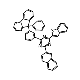 c1ccc(C2(c3cccc(-c4nc(-c5ccc6ccccc6c5)nc(-c5cc6ccccc6s5)n4)c3)c3ccccc3-c3ccccc32)cc1